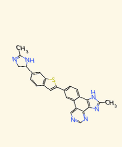 CC1=NCC(c2ccc3cc(-c4ccc5c(c4)c4cncnc4c4nc(C)[nH]c54)sc3c2)N1